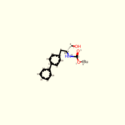 CC(C)(C)OC(=O)N[C@@H](CO)Cc1ccc(-c2ccccc2)cc1